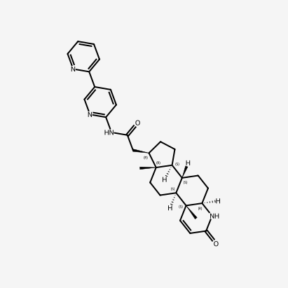 C[C@]12C=CC(=O)N[C@@H]1CC[C@@H]1[C@@H]2CC[C@]2(C)[C@@H](CC(=O)Nc3ccc(-c4ccccn4)cn3)CC[C@@H]12